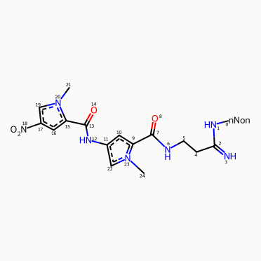 CCCCCCCCCNC(=N)CCNC(=O)c1cc(NC(=O)c2cc([N+](=O)[O-])cn2C)cn1C